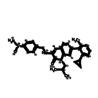 Cc1ncnc(C2CC2)c1-c1ncc2nc(NCc3ccc([S+](N)[O-])cn3)c(=O)n(CC(C)C)c2n1